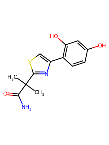 CC(C)(C(N)=O)c1nc(-c2ccc(O)cc2O)cs1